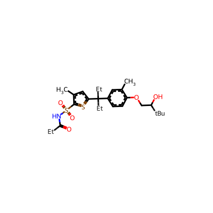 CCC(=O)NS(=O)(=O)c1sc(C(CC)(CC)c2ccc(OCC(O)C(C)(C)C)c(C)c2)cc1C